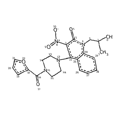 CC(C)Cn1c(=O)c([N+](=O)[O-])c(N2CCN(C(=O)c3ccco3)CC2)c2ccccc21